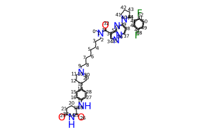 CN(CCCCCCCCN1CCC(c2ccc(NC3CCC(=O)NC3=O)cc2)CC1)C(=O)c1cnn2ccc(N3CCC[C@@H]3c3cc(F)ccc3F)nc12